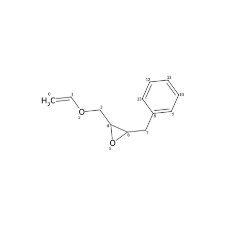 C=COCC1OC1Cc1ccccc1